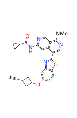 C#CC1CC(Oc2ccc3oc(-c4cnc(NC)c5cnc(NC(=O)C6CC6)cc45)nc3c2)C1